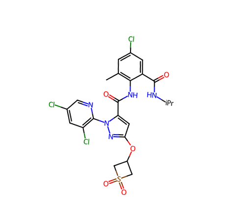 Cc1cc(Cl)cc(C(=O)NC(C)C)c1NC(=O)c1cc(OC2CS(=O)(=O)C2)nn1-c1ncc(Cl)cc1Cl